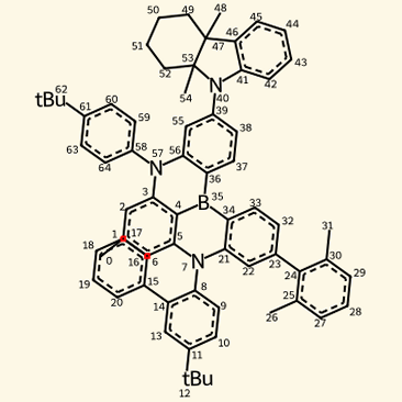 Cc1cc2c3c(c1)N(c1ccc(C(C)(C)C)cc1-c1ccccc1)c1cc(-c4c(C)cccc4C)ccc1B3c1ccc(N3c4ccccc4C4(C)CCCCC34C)cc1N2c1ccc(C(C)(C)C)cc1